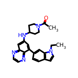 CCn1ccc2ccc(-c3cc(NC4CCN(C(C)=O)CC4)cc4nccnc34)cc21